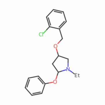 CCN1CC(OCc2ccccc2Cl)CC1Oc1ccccc1